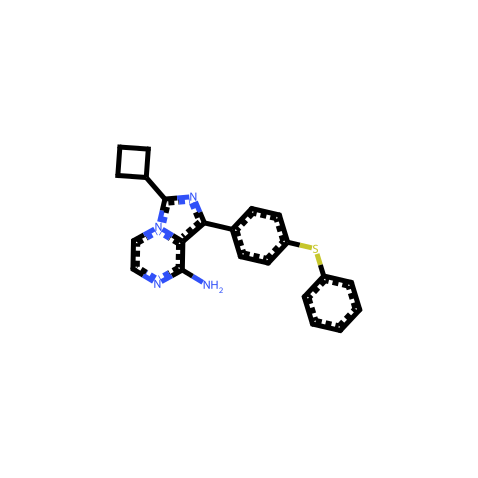 Nc1nccn2c(C3CCC3)nc(-c3ccc(Sc4ccccc4)cc3)c12